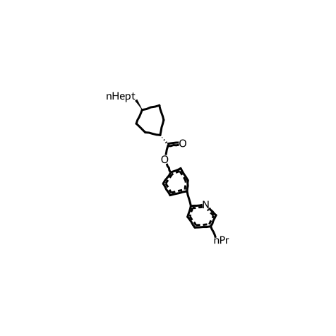 CCCCCCC[C@H]1CC[C@H](C(=O)Oc2ccc(-c3ccc(CCC)cn3)cc2)CC1